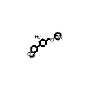 Cl.c1cc2cc(-c3ccc(COC4CN5CCC4CC5)cc3)ccc2o1